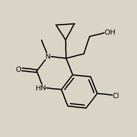 CN1C(=O)Nc2ccc(Cl)cc2C1(CCO)C1CC1